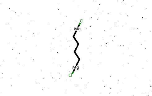 [Cl][Mg][CH2]CC[CH2][Mg][Cl]